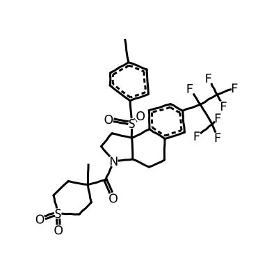 Cc1ccc(S(=O)(=O)C23CCN(C(=O)C4(C)CCS(=O)(=O)CC4)C2CCc2cc(C(F)(C(F)(F)F)C(F)(F)F)ccc23)cc1